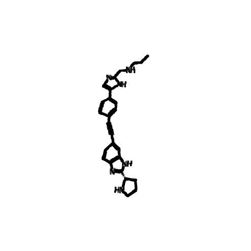 CCCNCc1ncc(-c2ccc(C#Cc3ccc4nc([C@@H]5CCCN5)[nH]c4c3)cc2)[nH]1